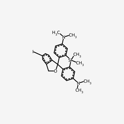 CN(C)c1ccc2c(c1)[Si](C)(C)c1cc(N(C)C)ccc1C21OCc2cc(I)ccc21